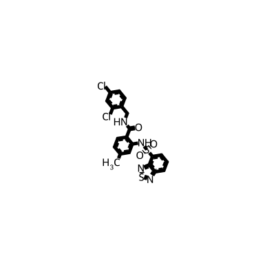 Cc1ccc(C(=O)NCc2ccc(Cl)cc2Cl)c(NS(=O)(=O)c2cccc3nsnc23)c1